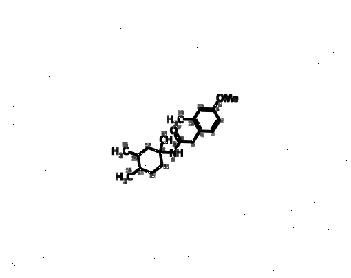 COc1ccc(CC(=O)NC2(C)CCC(C)C(C)C2)c(C)c1